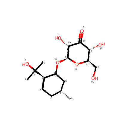 C[C@@H]1CC[C@@H](C(C)(C)O)C(O[C@@H]2O[C@H](CO)[C@@H](O)C(=O)[C@H]2O)C1